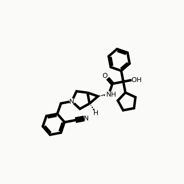 N#Cc1ccccc1CN1CC2[C@H](C1)[C@H]2NC(=O)C(O)(c1ccccc1)C1CCCC1